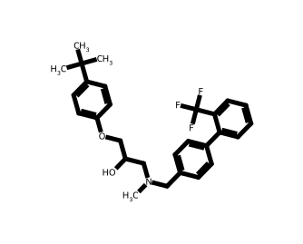 CN(Cc1ccc(-c2ccccc2C(F)(F)F)cc1)CC(O)COc1ccc(C(C)(C)C)cc1